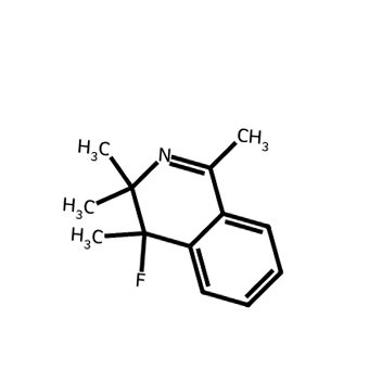 CC1=NC(C)(C)C(C)(F)c2ccccc21